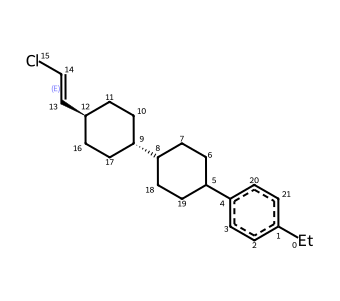 CCc1ccc(C2CCC([C@H]3CC[C@H](/C=C/Cl)CC3)CC2)cc1